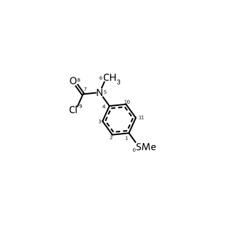 CSc1ccc(N(C)C(=O)Cl)cc1